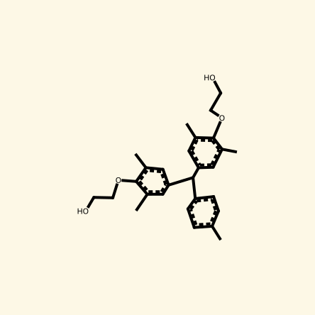 Cc1ccc(C(c2cc(C)c(OCCO)c(C)c2)c2cc(C)c(OCCO)c(C)c2)cc1